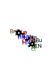 Cc1c(NC(C(=O)NNC(=O)c2ccc(Br)cc2)C(C)O[Si](C)(C)C(C)(C)C)ccc(C#N)c1Cl